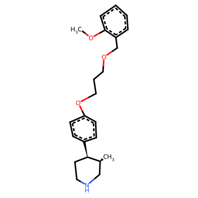 COc1ccccc1COCCCOc1ccc([C@@H]2CCNC[C@@H]2C)cc1